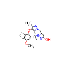 COc1ccc(Oc2c(C)nn(Cc3cc(O)n[nH]3)c2C)c2c1CCC2